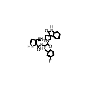 C#[N+][C@@H]1C[C@@]2(CN1C(=O)[C@H](Cc1cccc(F)c1)NC(=O)c1[nH]ccc1F)C(=O)Nc1ccccc12